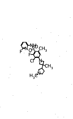 Cc1cc(N2CC(C)(C3CCN(C)C3)C2)c(Cl)c(F)c1S(=O)(=O)Nc1cccc(F)n1